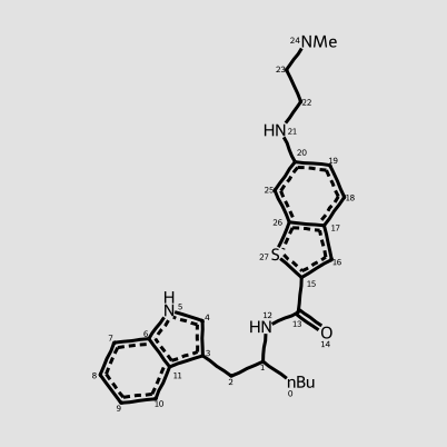 CCCCC(Cc1c[nH]c2ccccc12)NC(=O)c1cc2ccc(NCCNC)cc2s1